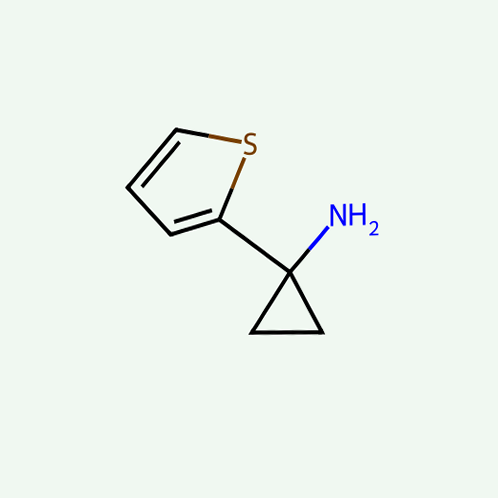 NC1(c2cccs2)CC1